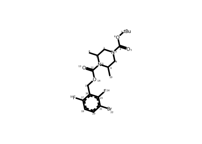 CC1CN(C(=O)OC(C)(C)C)CC(C)N1C(=O)OCc1c(F)ccc(Br)c1F